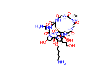 CC[C@H](C)[C@@H]1NC(=O)CNC(=O)[C@H]2Cc3c([nH]c4cc(OCCCCCCN)ccc34)[S+]([O-])C[C@H](NC(=O)CNC1=O)C(=O)N[C@@H](CC(N)=O)C(=O)N1C[C@H](O)C[C@H]1C(=O)N[C@@H]([C@@H](C)[C@@H](O)CO)C(=O)N2